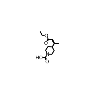 CCOC(=O)/C=C(/C)C1CCN(C(=O)O)CC1